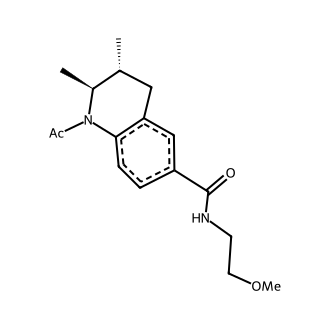 COCCNC(=O)c1ccc2c(c1)C[C@@H](C)[C@H](C)N2C(C)=O